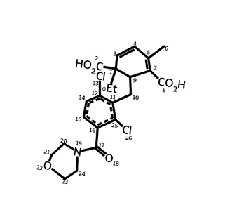 CCC1(C(=O)O)C=CC(C)=C(C(=O)O)C1Cc1c(Cl)ccc(C(=O)N2CCOCC2)c1Cl